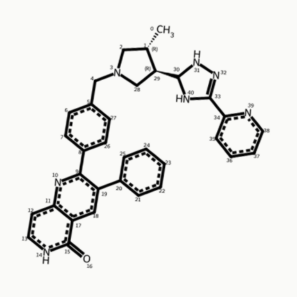 C[C@H]1CN(Cc2ccc(-c3nc4cc[nH]c(=O)c4cc3-c3ccccc3)cc2)C[C@@H]1C1NN=C(c2ccccn2)N1